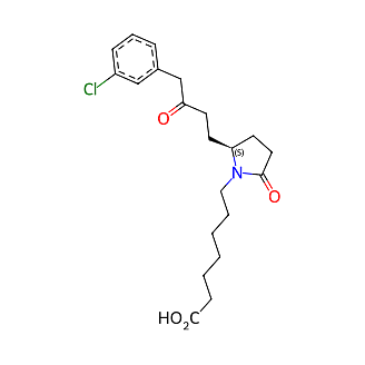 O=C(O)CCCCCCN1C(=O)CC[C@@H]1CCC(=O)Cc1cccc(Cl)c1